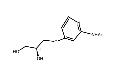 CC(=O)Nc1cc(OC[C@@H](O)CO)ccn1